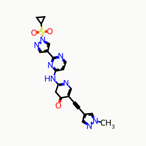 Cn1cc(C#CC2=CN=C(Nc3ccnc(-c4cnn(S(=O)(=O)C5CC5)c4)n3)CC2=O)cn1